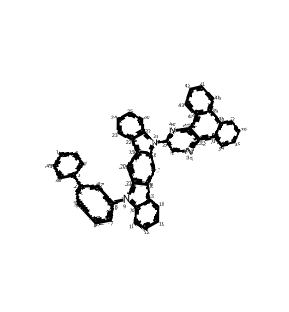 c1ccc(-c2cccc(-n3c4ccccc4c4cc5c(cc43)c3ccccc3n5-c3cnc4c5ccccc5c5ccccc5c4n3)c2)cc1